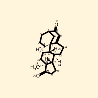 CC1CCC2C[C@]13C(=CC2=O)CC[C@@H]1[C@@H]3CC[C@]2(C)C(=O)CC[C@@H]12